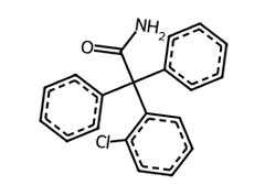 NC(=O)C(c1ccccc1)(c1ccccc1)c1ccccc1Cl